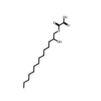 CCCCCCCCCCCCC(O)COC(=O)C(=O)O